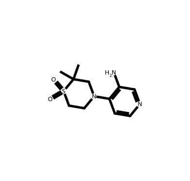 CC1(C)CN(c2ccncc2N)CCS1(=O)=O